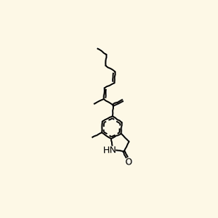 C=C(/C(C)=C\C=C/CCC)c1cc(C)c2c(c1)CC(=O)N2